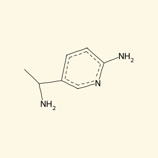 CC(N)c1ccc(N)nc1